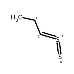 CCC=S=S